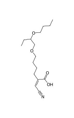 CCCCOC(CC)COCCCCC(=CC#N)C(=O)O